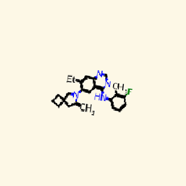 C=C1CC2(CCC2)CN1c1cc2c(Nc3cccc(F)c3C)ncnc2cc1CC